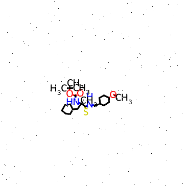 COC1CCC(CNC(=S)[C@@](C)(CC2CCCCC2)NC(=O)OC(C)(C)C)CC1